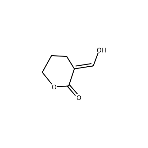 O=C1OCCC/C1=C\O